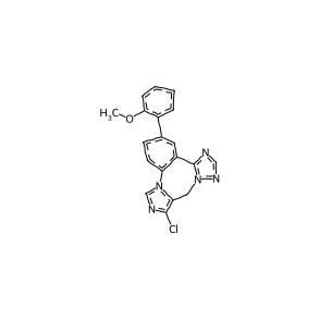 COc1ccccc1-c1ccc2c(c1)-c1ncnn1Cc1c(Cl)ncn1-2